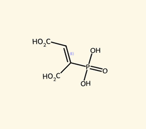 O=C(O)/C=C(\C(=O)O)P(=O)(O)O